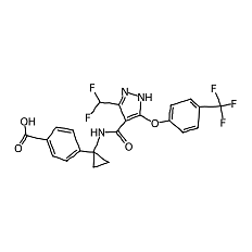 O=C(O)c1ccc(C2(NC(=O)c3c(C(F)F)n[nH]c3Oc3ccc(C(F)(F)F)cc3)CC2)cc1